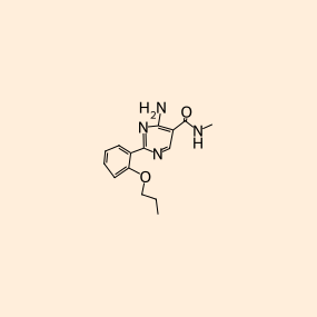 CCCOc1ccccc1-c1ncc(C(=O)NC)c(N)n1